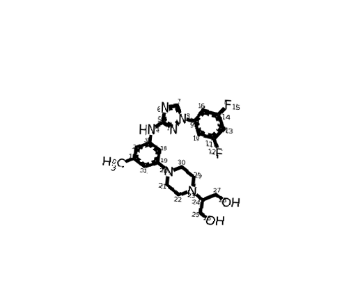 Cc1cc(Nc2ncn(-c3cc(F)cc(F)c3)n2)cc(N2CCN(C(CO)CO)CC2)c1